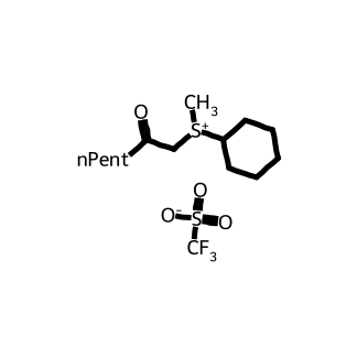 CCCCCC(=O)C[S+](C)C1CCCCC1.O=S(=O)([O-])C(F)(F)F